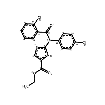 CCOC(=O)c1csc(N(C(=O)c2ccccc2Cl)c2ccc(Cl)cc2)n1